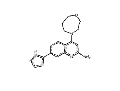 Nc1cc(N2CCCOCC2)c2ccc(-c3ccn[nH]3)cc2n1